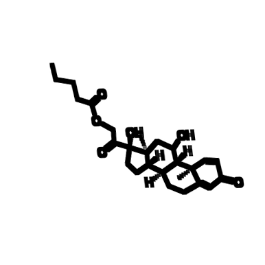 CCCCC(=O)OCC(=O)[C@@]1(O)CC[C@H]2[C@@H]3CCC4=CC(=O)C=C[C@]4(C)[C@H]3C(O)C[C@@]21C